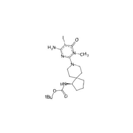 Cn1c(N2CCC3(CCC[C@H]3NC(=O)OC(C)(C)C)CC2)nc(N)c(I)c1=O